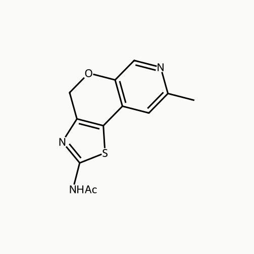 CC(=O)Nc1nc2c(s1)-c1cc(C)ncc1OC2